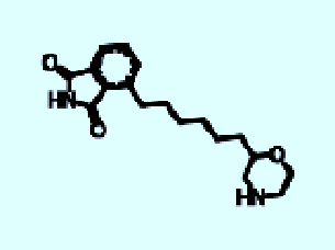 O=C1NC(=O)c2c(CCCCCCC3CNCCO3)cccc21